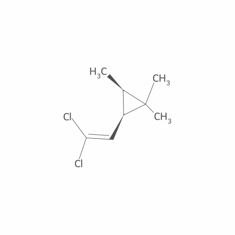 C[C@@H]1[C@H](C=C(Cl)Cl)C1(C)C